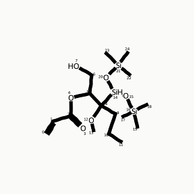 C=CC(=O)OC(CO)C(CCC)(OC)[SiH](O[Si](C)(C)C)O[Si](C)(C)C